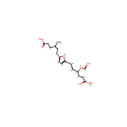 CC(CCC(=O)O)CCc1ccc(CCC(CCC(=O)O)OC=O)o1